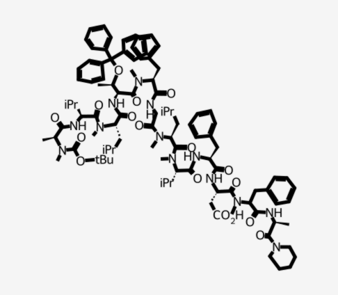 CC(C)C[C@@H](C(=O)N(C)[C@H](C(=O)N[C@@H](Cc1ccccc1)C(=O)N[C@@H](CC(=O)O)C(=O)N(C)C(Cc1ccccc1)C(=O)N[C@@H](C)C(=O)N1CCCCC1)C(C)C)N(C)C(=O)CNC(=O)[C@H](Cc1ccccc1)N(C)C(=O)[C@@H](NC(=O)[C@H](CC(C)C)N(C)C(=O)[C@@H](NC(=O)[C@H](C)N(C)C(=O)OC(C)(C)C)C(C)C)[C@@H](C)OC(c1ccccc1)(c1ccccc1)c1ccccc1